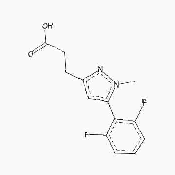 Cn1nc(CCC(=O)O)cc1-c1c(F)cccc1F